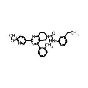 CCc1cccc(NC(=O)N2CCc3nc(-c4ccc(OC)nc4)nc(-c4ccccc4C)c3C2)c1